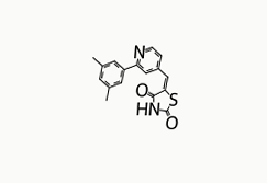 Cc1cc(C)cc(-c2cc(C=C3SC(=O)NC3=O)ccn2)c1